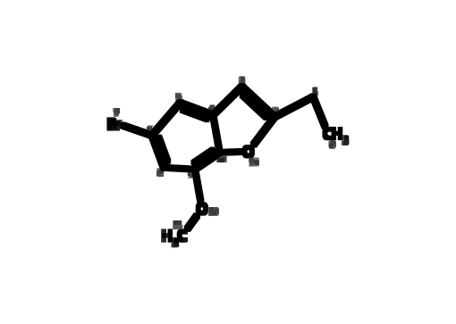 CCc1cc2cc(Br)cc(OC)c2o1